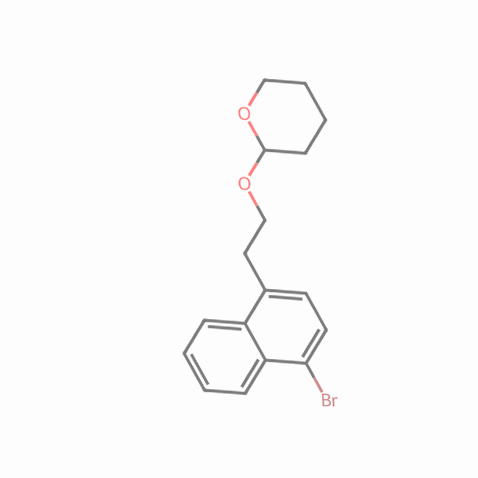 Brc1ccc(CCOC2CCCCO2)c2ccccc12